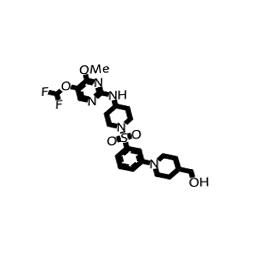 COc1nc(NC2CCN(S(=O)(=O)c3cccc(N4CCC(CO)CC4)c3)CC2)ncc1OC(F)F